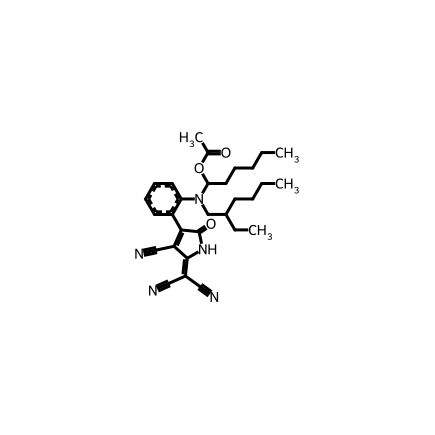 CCCCCC(OC(C)=O)N(CC(CC)CCCC)c1ccccc1C1=C(C#N)C(=C(C#N)C#N)NC1=O